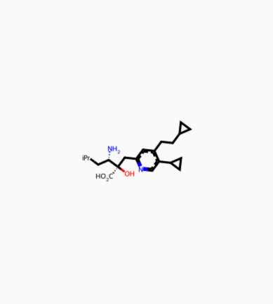 CC(C)C[C@H](N)[C@](O)(Cc1cc(CCC2CC2)c(C2CC2)cn1)C(=O)O